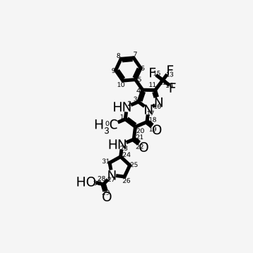 Cc1[nH]c2c(-c3ccccc3)c(C(F)(F)F)nn2c(=O)c1C(=O)NC1CCN(C(=O)O)C1